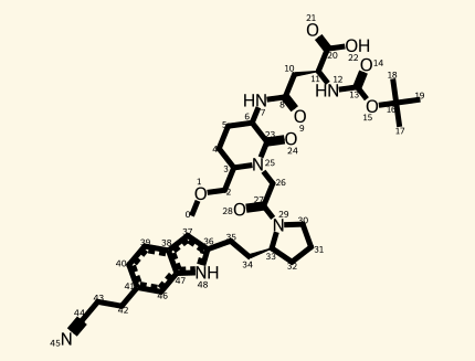 COCC1CCC(NC(=O)C[C@H](NC(=O)OC(C)(C)C)C(=O)O)C(=O)N1CC(=O)N1CCC[C@H]1CCc1cc2ccc(CCC#N)cc2[nH]1